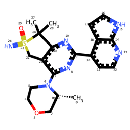 C[C@@H]1COCCN1c1nc(-c2ccnc3[nH]ccc23)nc2c1CS(=N)(=O)C2(C)C